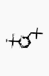 CC(C)(C)Cc1ccnc(C(F)(F)F)n1